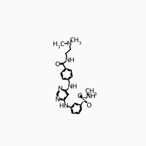 CNS(=O)(=O)c1cccc(Nc2cc(Nc3ccc(C(=O)NCCN(C)C)cc3)ncn2)c1